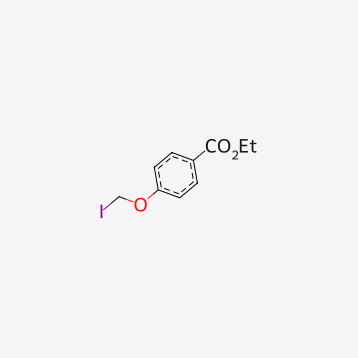 CCOC(=O)c1ccc(OCI)cc1